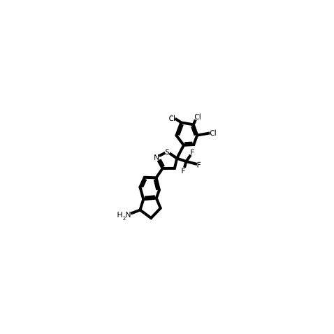 NC1CCc2cc(C3=NSC(c4cc(Cl)c(Cl)c(Cl)c4)(C(F)(F)F)C3)ccc21